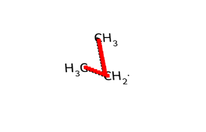 [CH2]CC(CCCCCCCCCCCCC)CCCCCCCCCCCCCCCCCCCCCCCCC